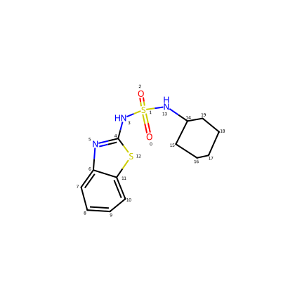 O=S(=O)(Nc1nc2ccccc2s1)NC1CCCCC1